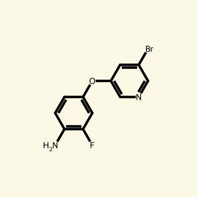 Nc1ccc(Oc2cncc(Br)c2)cc1F